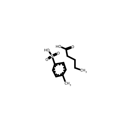 CCCCC(=O)O.Cc1ccc(S(=O)(=O)O)cc1